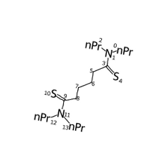 CCCN(CCC)C(=S)CCCCC(=S)N(CCC)CCC